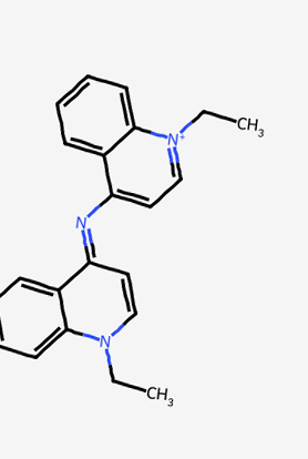 CCn1ccc(=Nc2cc[n+](CC)c3ccccc23)c2ccccc21